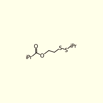 CC(C)SSCCOC(=O)C(C)C